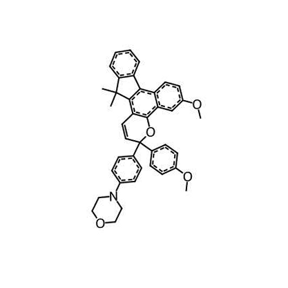 COc1ccc(C2(c3ccc(N4CCOCC4)cc3)C=Cc3c4c(c5ccc(OC)cc5c3O2)-c2ccccc2C4(C)C)cc1